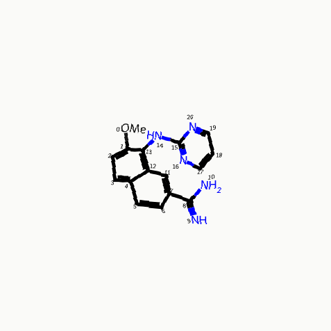 COc1ccc2ccc(C(=N)N)cc2c1Nc1ncccn1